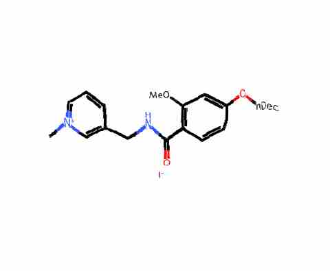 CCCCCCCCCCOc1ccc(C(=O)NCc2ccc[n+](C)c2)c(OC)c1.[I-]